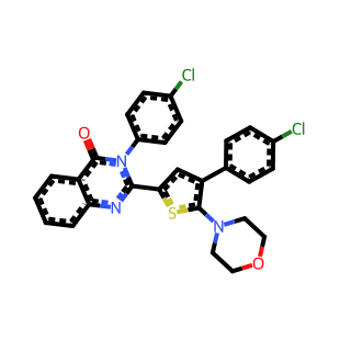 O=c1c2ccccc2nc(-c2cc(-c3ccc(Cl)cc3)c(N3CCOCC3)s2)n1-c1ccc(Cl)cc1